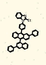 CCc1nc2ccccc2n1-c1ccc(-c2c3ccccc3c(-c3cc(-c4ccccc4)cc4ccccc34)c3ccc(-c4ccccc4)cc23)cc1